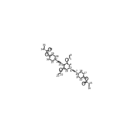 C=COc1cc(C#Cc2ccc(OC(=O)C=C)cc2)cc(OC=C)c1C#Cc1ccc(OC(=O)C=C)cc1